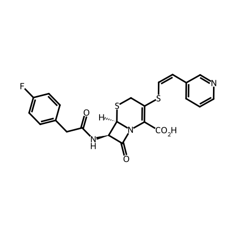 O=C(Cc1ccc(F)cc1)N[C@@H]1C(=O)N2C(C(=O)O)=C(S/C=C\c3cccnc3)CS[C@H]12